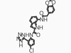 O=C(Cc1ccc2c(c1)OCO2)Nc1cccc2cc(C(=O)Nc3ccc(Cl)cc3-c3nnn[nH]3)[nH]c12